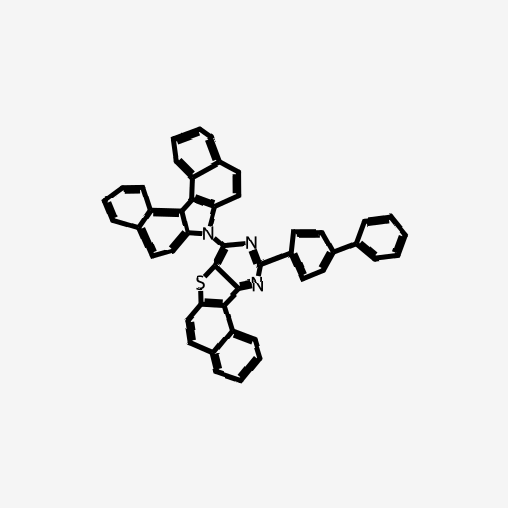 c1ccc(-c2ccc(-c3nc(-n4c5ccc6ccccc6c5c5c6ccccc6ccc54)c4sc5ccc6ccccc6c5c4n3)cc2)cc1